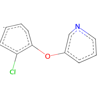 Clc1c[c]ccc1Oc1cccnc1